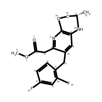 COC(=O)Cc1nc2c(cc1Cc1ccc(F)cc1F)N[C@@H](C)CO2